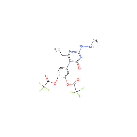 CCc1nc(NNC)nc(=O)n1-c1ccc(OC(=O)C(F)(F)F)c(OC(=O)C(F)(F)F)c1